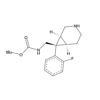 CC(C)(C)OC(=O)NC[C@]1(c2ccccc2F)[C@@H]2CCNC[C@@H]21